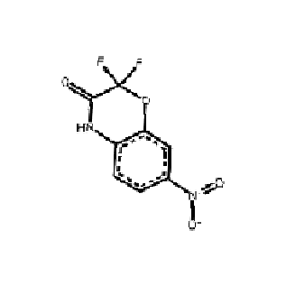 O=C1Nc2ccc([N+](=O)[O-])cc2OC1(F)F